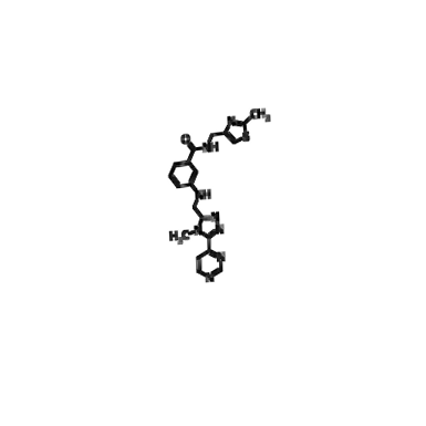 Cc1nc(CNC(=O)c2cccc(NCc3nnc(-c4ccncn4)n3C)c2)cs1